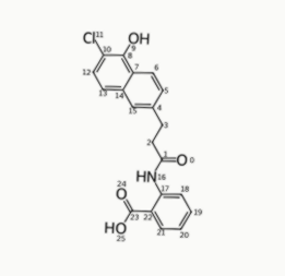 O=C(CCc1ccc2c(O)c(Cl)ccc2c1)Nc1ccccc1C(=O)O